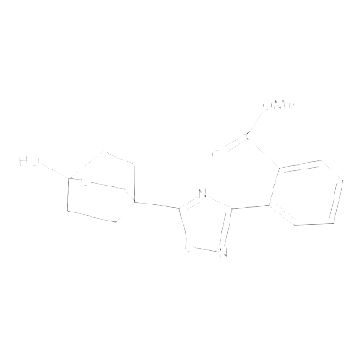 COC(=O)c1ccccc1-c1noc(C23CCC(O)(CC2)CC3)n1